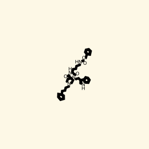 O=C(NCCCCC1NC(=O)C2(CCN(CCCCc3ccccc3)CC2)N(CCc2c[nH]c3ccccc23)C1=O)OCc1ccccc1